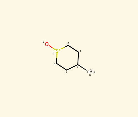 CCCCC1CC[S+]([O-])CC1